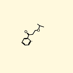 CC(C)OCCC(=O)c1[c]cccc1